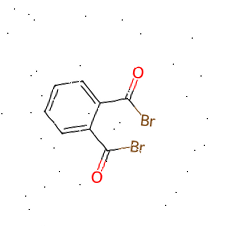 O=C(Br)c1ccccc1C(=O)Br